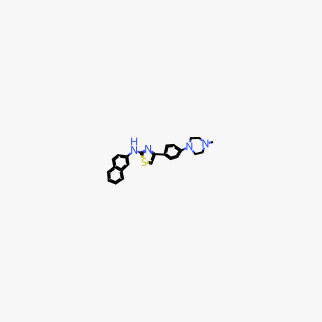 CN1CCN(c2ccc(-c3csc(Nc4ccc5ccccc5c4)n3)cc2)CC1